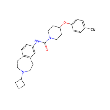 N#Cc1ccc(OC2CCN(C(=O)Nc3ccc4c(c3)CCN(C3CCC3)CC4)CC2)cc1